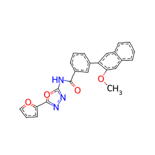 COc1cc2ccccc2cc1-c1cccc(C(=O)Nc2nnc(-c3ccco3)o2)c1